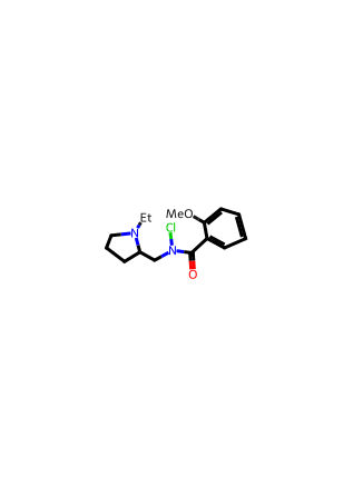 CCN1CCCC1CN(Cl)C(=O)c1ccccc1OC